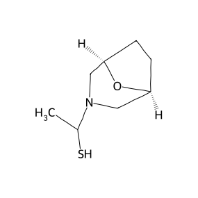 CC(S)N1C[C@H]2CC[C@@H](C1)O2